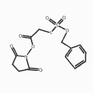 O=C(CSS(=O)(=O)OCc1ccccc1)ON1C(=O)CCC1=O